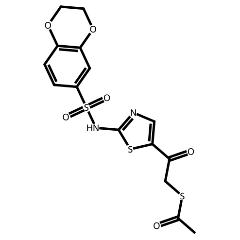 CC(=O)SCC(=O)c1cnc(NS(=O)(=O)c2ccc3c(c2)OCCO3)s1